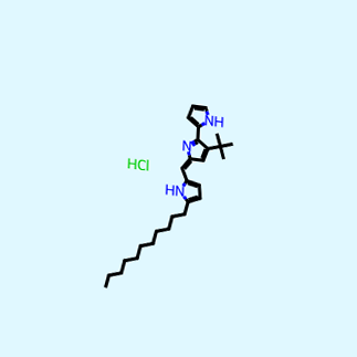 CCCCCCCCCCCc1ccc(/C=C2\C=C(C(C)(C)C)C(c3ccc[nH]3)=N2)[nH]1.Cl